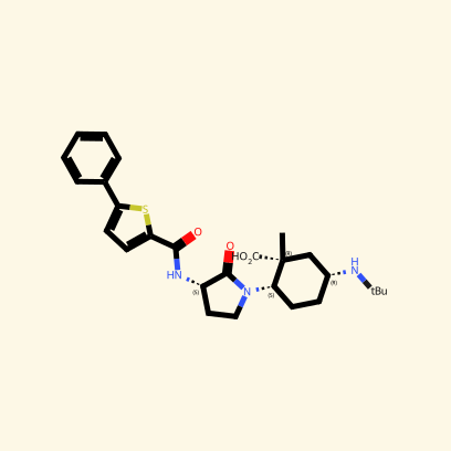 CC(C)(C)N[C@@H]1CC[C@H](N2CC[C@H](NC(=O)c3ccc(-c4ccccc4)s3)C2=O)[C@](C)(C(=O)O)C1